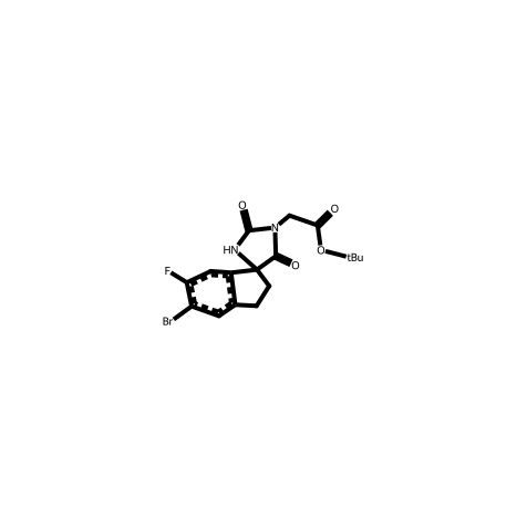 CC(C)(C)OC(=O)CN1C(=O)NC2(CCc3cc(Br)c(F)cc32)C1=O